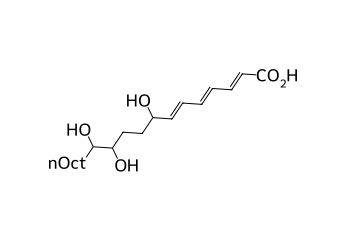 CCCCCCCCC(O)C(O)CCC(O)C=CC=CC=CC(=O)O